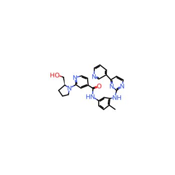 Cc1ccc(NC(=O)c2ccnc(N3CCC[C@H]3CO)c2)cc1Nc1nccc(-c2cccnc2)n1